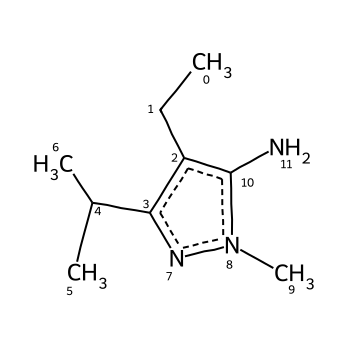 CCc1c(C(C)C)nn(C)c1N